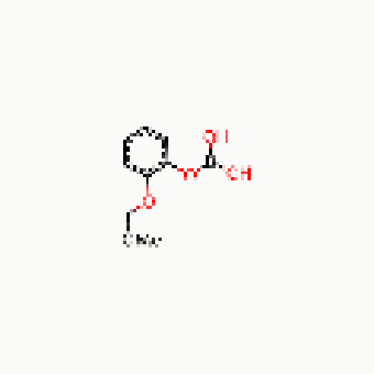 COCOc1ccccc1OB(O)O